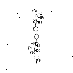 CC(C)C(NC(=O)C(C)(C)C)c1ncc(-c2ccc(-c3ccc(-c4cnc([C@@H](NC(=O)C5CCC(F)(F)CC5)C(C)C)[nH]4)cc3)cc2)[nH]1